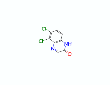 O=c1cnc2c(Cl)c(Cl)ccc2[nH]1